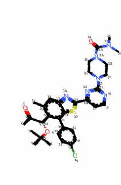 CC(=O)[C@@H](OC(C)(C)C)c1c(C)cc2nc(-c3ccnc(N4CCN(C(=O)N(C)C)CC4)n3)sc2c1-c1ccc(Cl)cc1